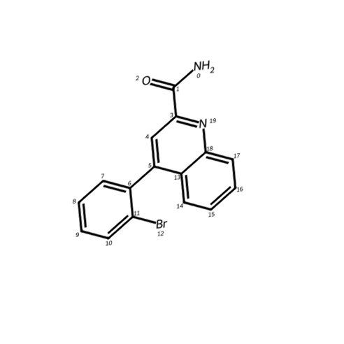 NC(=O)c1cc(-c2ccccc2Br)c2ccccc2n1